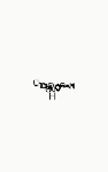 CN(C)CCCOC1CCC(NC(=O)Oc2ccc(Cl)cc2)CC1